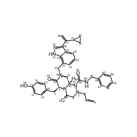 C=CCN1CC(=O)N2[C@@H](Cc3ccc(O)cc3)C(=O)N(Cc3cccc4c(C(=C)C5CC5)n[nH]c34)C[C@@H]2N1C(=O)NCc1ccccc1